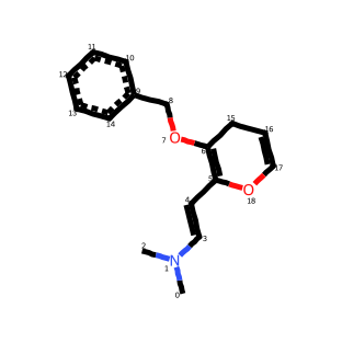 CN(C)C=CC1=C(OCc2ccccc2)CC=CO1